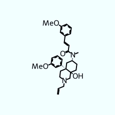 C=CCN1CC[C@@]2(c3cccc(OC)c3)C[C@H](N(C)C(=O)C=Cc3cccc(OC)c3)CC[C@]2(O)C1